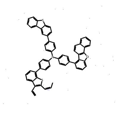 C=Cc1c(/C=C\C)sc2c(-c3ccc(N(c4ccc(-c5ccc6sc7ccccc7c6c5)cc4)c4ccc(-c5cccc6oc7c8ccccc8ccc7c56)cc4)cc3)cccc12